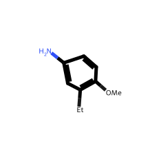 CCc1cc(N)[c]cc1OC